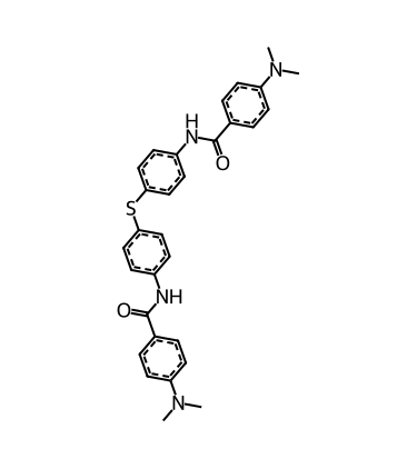 CN(C)c1ccc(C(=O)Nc2ccc(Sc3ccc(NC(=O)c4ccc(N(C)C)cc4)cc3)cc2)cc1